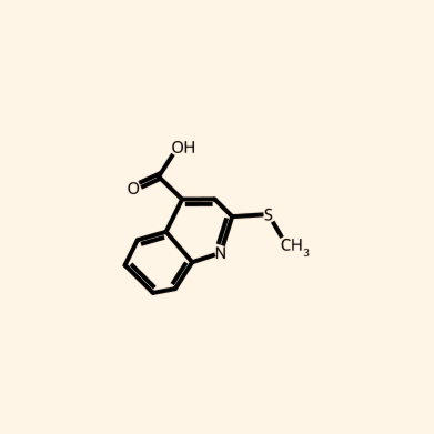 CSc1cc(C(=O)O)c2ccccc2n1